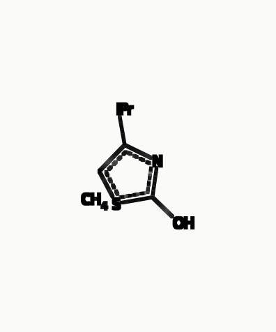 C.CC(C)c1csc(O)n1